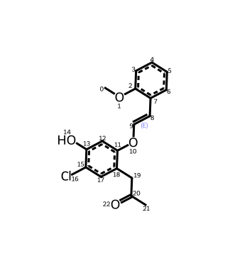 COc1ccccc1/C=C/Oc1cc(O)c(Cl)cc1CC(C)=O